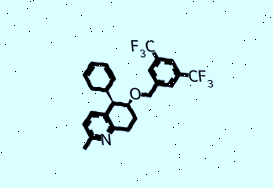 Cc1ccc2c(n1)CC[C@H](OCc1cc(C(F)(F)F)cc(C(F)(F)F)c1)[C@@H]2C1C=CC=CC1